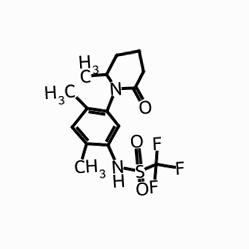 Cc1cc(C)c(N2C(=O)CCCC2C)cc1NS(=O)(=O)C(F)(F)F